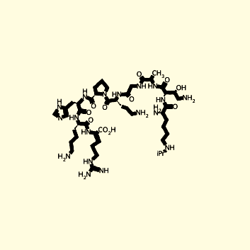 CC(C)NCCCC[C@H](N)C(=O)N[C@H](C(=O)NC(C)C(=O)NCC(=O)N[C@H](CCCN)C(=O)N1CCC[C@H]1C(=O)N[C@@H](Cc1cnc[nH]1)C(=O)N[C@@H](CCCCN)C(=O)N/C(=C\CCNC(=N)N)C(=O)O)[C@@H](O)CN